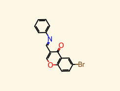 O=c1c(C=Nc2ccccc2)coc2ccc(Br)cc12